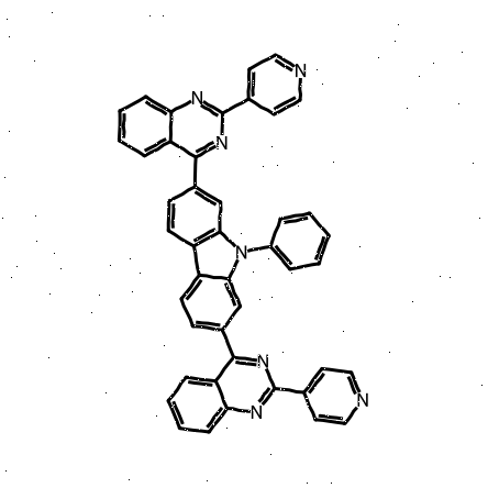 c1ccc(-n2c3cc(-c4nc(-c5ccncc5)nc5ccccc45)ccc3c3ccc(-c4nc(-c5ccncc5)nc5ccccc45)cc32)cc1